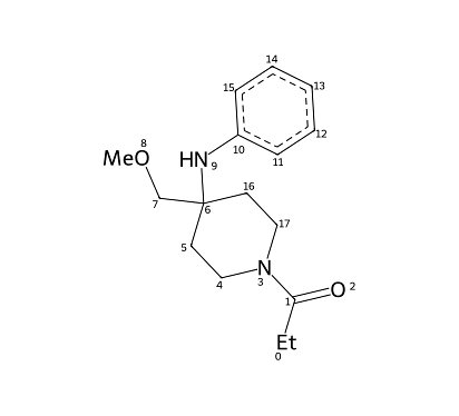 CCC(=O)N1CCC(COC)(Nc2ccccc2)CC1